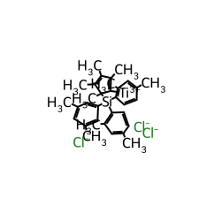 CC1=C(C)C(C)([Si](c2cc(C)cc(C)c2)(c2ccc(C)cc2C)c2ccc(C)cc2C)[C]([Ti+3])=C1C.[Cl-].[Cl-].[Cl-]